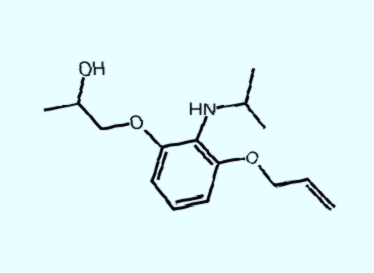 C=CCOc1cccc(OCC(C)O)c1NC(C)C